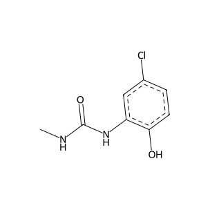 CNC(=O)Nc1cc(Cl)ccc1O